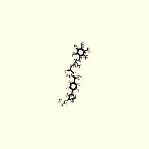 CC(CNOCc1c(F)c(F)c(F)c(F)c1F)CNC(=O)c1ccc(-c2noc(C(F)(F)F)n2)cc1